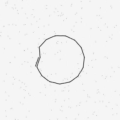 [CH]1/C=C/CCCCCCCCCCCC1